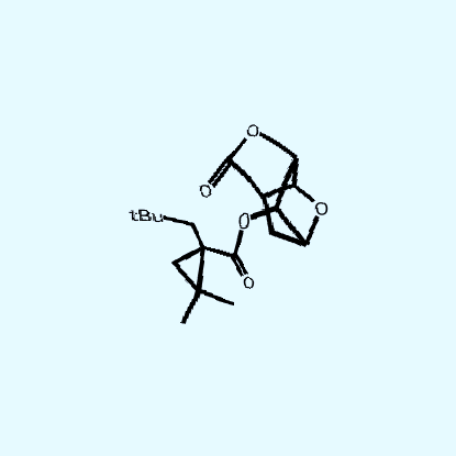 CC(C)(C)CC1(C(=O)OC2C3CC4C(=O)OC2C4O3)CC1(C)C